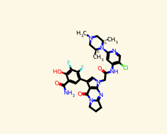 C[C@H]1CN(C)C[C@H](C)N1c1cc(NC(=O)Cn2cc(-c3cc(C(N)=O)c(O)c(F)c3F)c3c(=O)n4c(nc32)CCC4)c(Cl)cn1